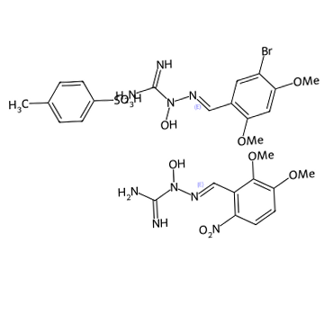 COc1cc(OC)c(/C=N/N(O)C(=N)N)cc1Br.COc1ccc([N+](=O)[O-])c(/C=N/N(O)C(=N)N)c1OC.Cc1ccc(S(=O)(=O)O)cc1